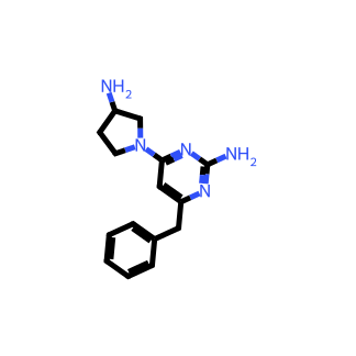 Nc1nc(Cc2ccccc2)cc(N2CCC(N)C2)n1